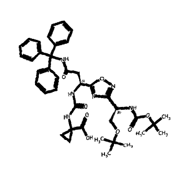 CC(C)(C)OC[C@H](NC(=O)OC(C)(C)C)c1noc([C@H](CC(=O)NC(c2ccccc2)(c2ccccc2)c2ccccc2)NC(=O)NC2(C(=O)O)CC2)n1